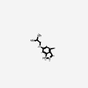 CCCC(CCC)COc1cc(C)c2cn[nH]c2c1